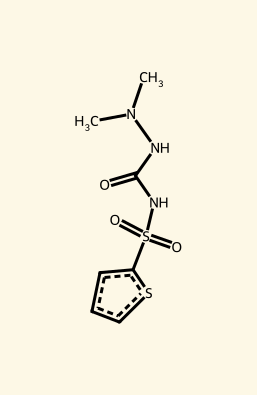 CN(C)NC(=O)NS(=O)(=O)c1cccs1